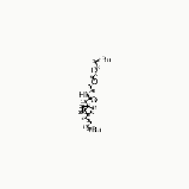 CC(C)(C)CCOCCOCCNC(=O)CC12CCC(CSCC(C)(C)C)(CC1)C2